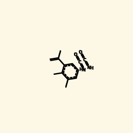 C=C(C)c1cccc(C)c1C.N=C=O.N=C=O